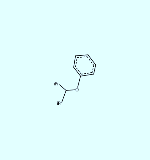 CC(C)C(Oc1ccccc1)C(C)C